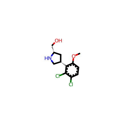 COc1ccc(Cl)c(Cl)c1[C@@H]1CN[C@H](CO)C1